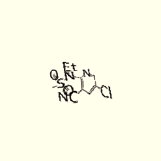 CCN(c1ncc(Cl)cc1C#N)S(C)(=O)=O